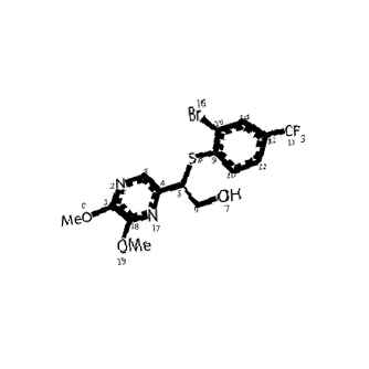 COc1ncc([C@H](CO)Sc2ccc(C(F)(F)F)cc2Br)nc1OC